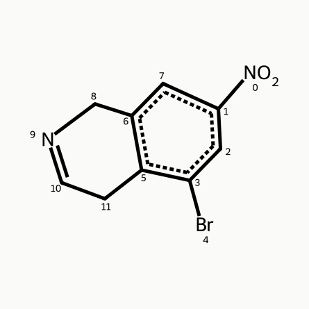 O=[N+]([O-])c1cc(Br)c2c(c1)CN=CC2